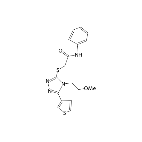 COCCn1c(SCC(=O)Nc2ccccc2)nnc1-c1ccsc1